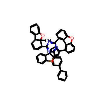 CC12Oc3ccccc3C1C=CC=C2c1nc(-c2ccc(-c3ccccc3)cc2)nc(-c2cccc3oc4cccc(-c5ccc6c(c5)sc5ccccc56)c4c23)n1